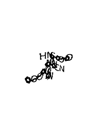 N#Cc1ccc(C2NCC[C@H](c3ccc(OCCOCc4ccccc4)cc3)[C@H]2COc2cccnc2)c(OCC2CNCCC2c2ccc(OCC3CCOC3)cc2)c1